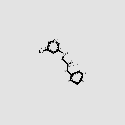 CCc1cncc(OC[C@@H](N)Cc2ccccc2)c1